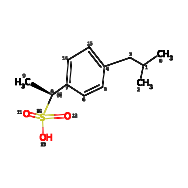 CC(C)Cc1ccc([C@H](C)S(=O)(=O)O)cc1